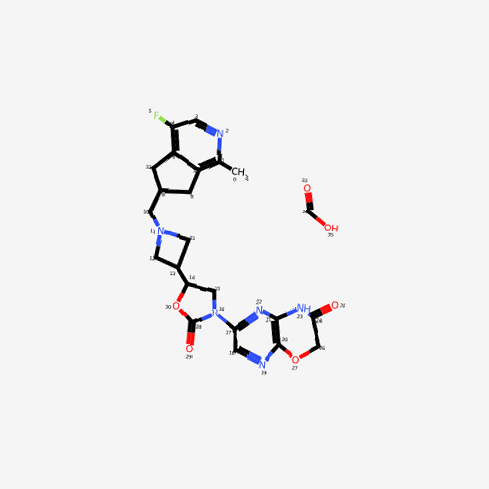 Cc1ncc(F)c2c1CC(CN1CC(C3CN(c4cnc5c(n4)NC(=O)CO5)C(=O)O3)C1)C2.O=CO